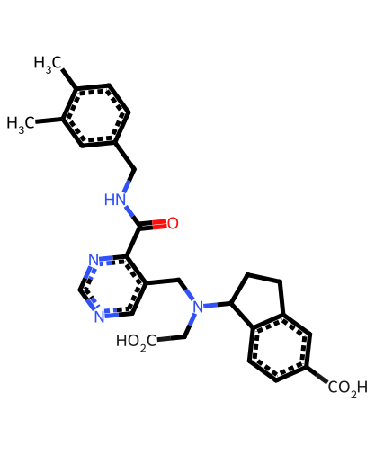 Cc1ccc(CNC(=O)c2ncncc2CN(CC(=O)O)C2CCc3cc(C(=O)O)ccc32)cc1C